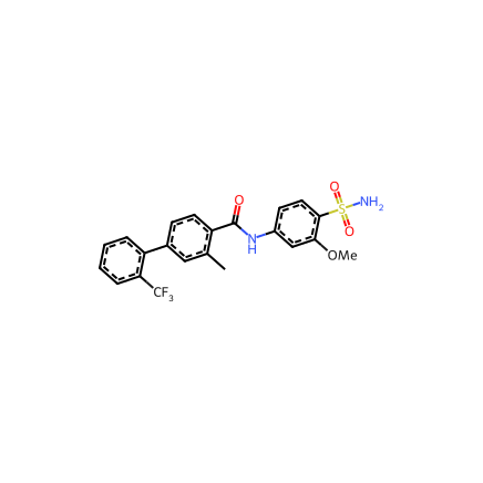 COc1cc(NC(=O)c2ccc(-c3ccccc3C(F)(F)F)cc2C)ccc1S(N)(=O)=O